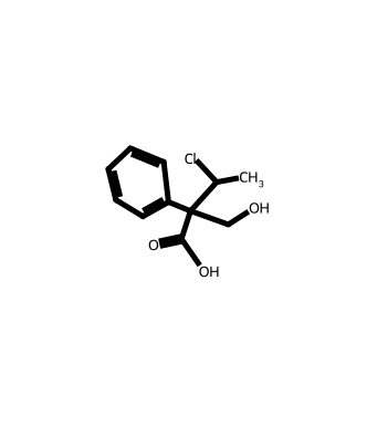 CC(Cl)C(CO)(C(=O)O)c1ccccc1